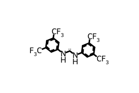 FC(F)(F)c1cc(N[C]Nc2cc(C(F)(F)F)cc(C(F)(F)F)c2)cc(C(F)(F)F)c1